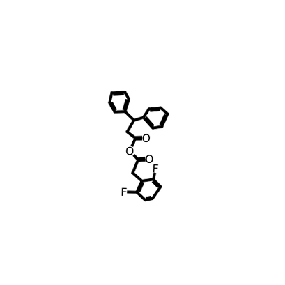 O=C(Cc1c(F)cccc1F)OC(=O)CC(c1ccccc1)c1ccccc1